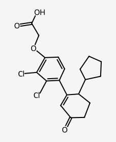 O=C(O)COc1ccc(C2=CC(=O)CCC2C2CCCC2)c(Cl)c1Cl